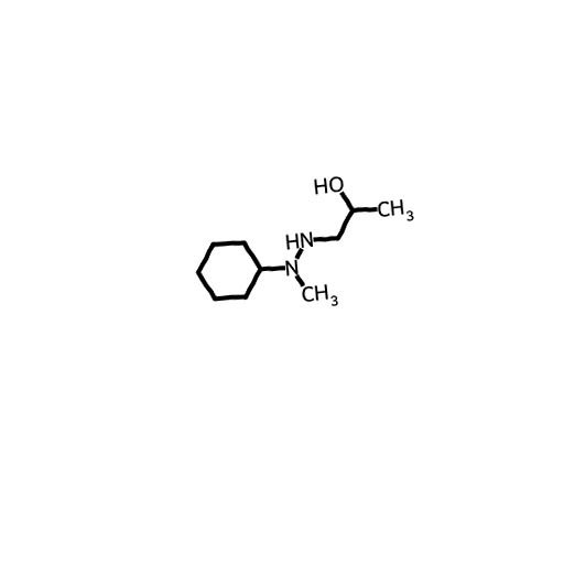 CC(O)CNN(C)C1CCCCC1